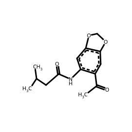 CC(=O)c1cc2c(cc1NC(=O)CC(C)C)OCO2